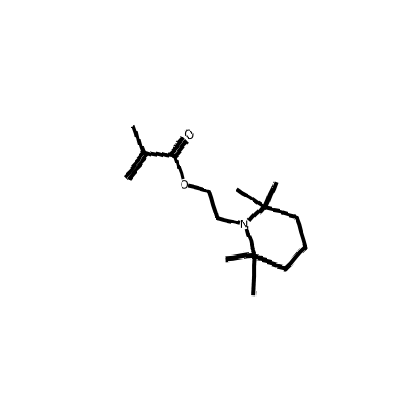 C=C(C)C(=O)OCCN1C(C)(C)CCCC1(C)C